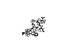 CC[C@H](C)[C@@H]([C@@H](CC(=O)N1C[C@H](ON)C[C@H]1[C@H](OC)[C@@H](C)C(=O)N[C@@H](Cc1ccccn1)C(=O)NS(=O)(=O)C1CC1)OC)N(C)C(=O)[C@@H](NC(=O)[C@H](C(C)C)N(C)C)C(C)C